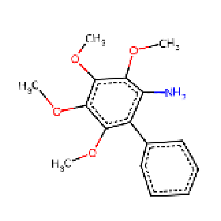 COc1c(N)c(-c2ccccc2)c(OC)c(OC)c1OC